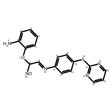 Nc1ccccc1OC(C=Nc1ccc(Sc2ncccn2)cc1)N=O